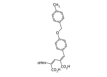 CCCCCCC(=CC(=Cc1ccc(OCc2ccc(C)cc2)cc1)C(=O)O)C(=O)O